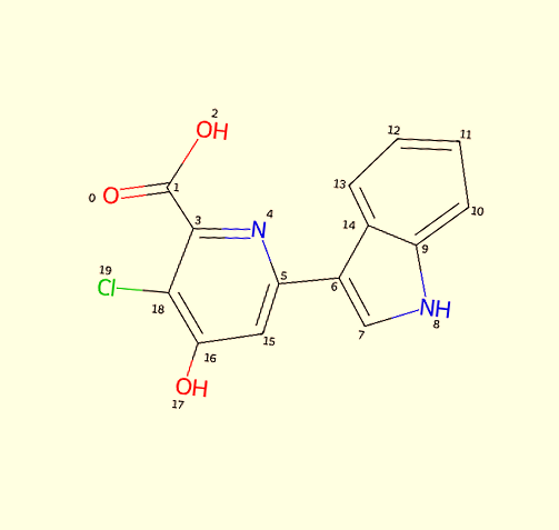 O=C(O)c1nc(-c2c[nH]c3ccccc23)cc(O)c1Cl